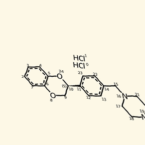 Cl.Cl.c1ccc2c(c1)OC[C@H](c1ccc(CN3CCNCC3)cc1)O2